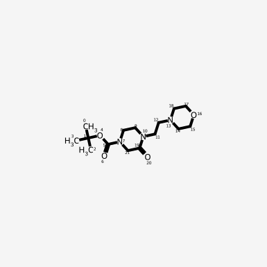 CC(C)(C)OC(=O)N1CCN(CCN2CCOCC2)C(=O)C1